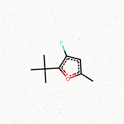 Cc1cc(F)c(C(C)(C)C)o1